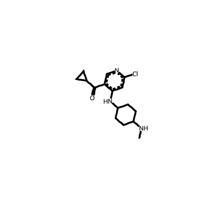 CNC1CCC(Nc2cc(Cl)ncc2C(=O)C2CC2)CC1